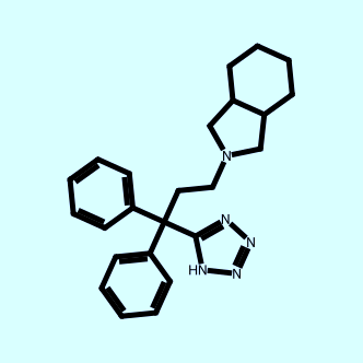 c1ccc(C(CCN2CC3CCCCC3C2)(c2ccccc2)c2nnn[nH]2)cc1